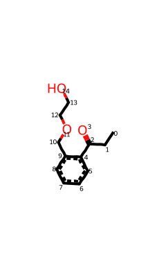 CCC(=O)c1ccccc1COCCO